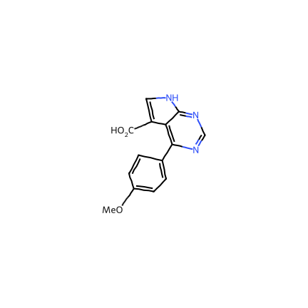 COc1ccc(-c2ncnc3[nH]cc(C(=O)O)c23)cc1